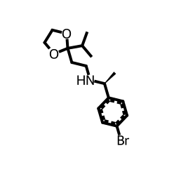 CC(C)C1(CCN[C@@H](C)c2ccc(Br)cc2)OCCO1